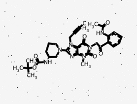 CC#CCn1c(N2CCC[C@@H](NC(=O)OC(C)(C)C)C2)nc2c1c(=O)n(CC(=O)c1ccccc1NC(C)=O)c(=O)n2C